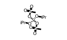 CC(C)O[Si](OC(C)C)(OS(C)(=O)=O)OS(C)(=O)=O